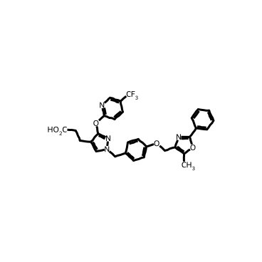 Cc1oc(-c2ccccc2)nc1COc1ccc(Cn2cc(CCC(=O)O)c(Oc3ccc(C(F)(F)F)cn3)n2)cc1